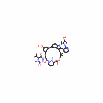 CCn1c(-c2cccnc2N2CC(OC)C2)c2c3cc(ccc31)-c1cc(O)cc(c1)C[C@H](NC(=O)C(C(C)C)N(C)C=O)C(=O)N1CCC[C@H](N1)C(=O)OCC(C)(C)C2